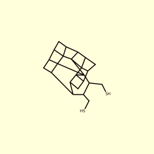 SCC1C2C3CC4C5CC6C7C8CC9C%10CC2C%102C98C78C56C34C28C1CS